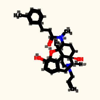 C=CCN1CC[C@]23c4c5ccc(O)c4OC2(C)C(N(C)C(=O)CCc2cccc(C)c2)CC[C@@]3(O)[C@H]1C5